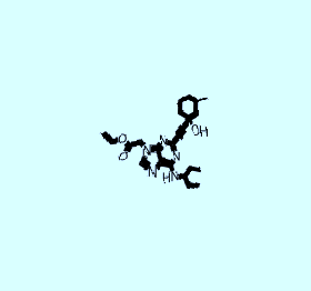 CCOC(=O)Cn1cnc2c(NC(CC)CC)nc(C#C[C@]3(O)CCC[C@@H](C)C3)nc21